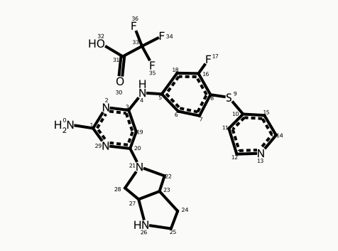 Nc1nc(Nc2ccc(Sc3ccncc3)c(F)c2)cc(N2CC3CCNC3C2)n1.O=C(O)C(F)(F)F